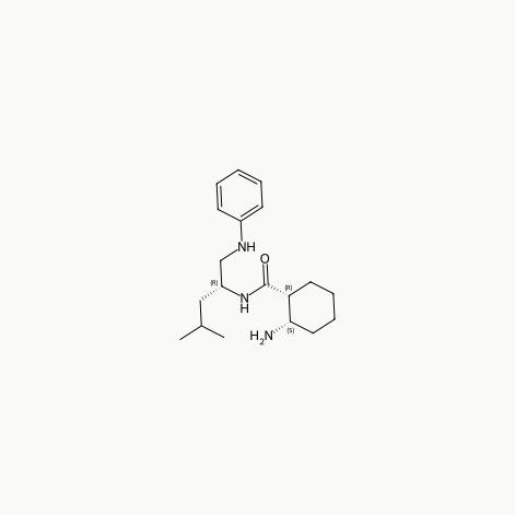 CC(C)C[C@H](CNc1ccccc1)NC(=O)[C@@H]1CCCC[C@@H]1N